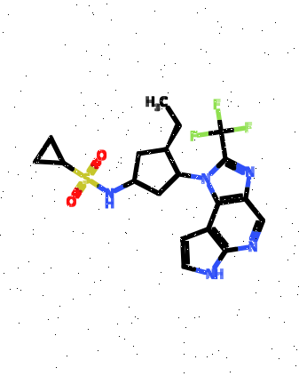 CC[C@@H]1CC(NS(=O)(=O)C2CC2)CC1n1c(C(F)(F)F)nc2cnc3[nH]ccc3c21